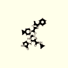 Cc1sc(C(=O)N2CCC3(CC3)C[C@H]2C(=O)N[C@@H](C[C@@H]2CCNC2=O)C(=O)C(=O)NC2CC2)nc1-c1ccccc1